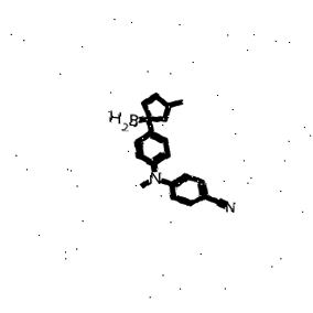 BC1(c2ccc(N(C)c3ccc(C#N)cc3)cc2)CCC(C)C1